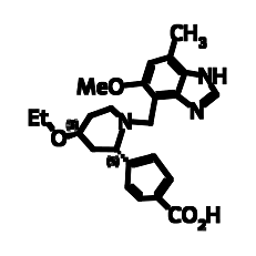 CCO[C@H]1CCN(Cc2c(OC)cc(C)c3[nH]cnc23)[C@H](c2ccc(C(=O)O)cc2)C1